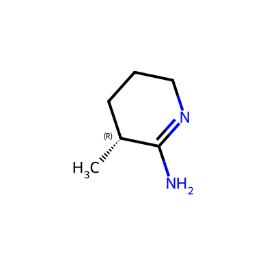 C[C@@H]1CCCN=C1N